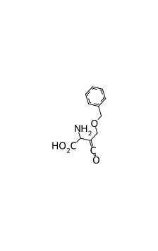 NC(C(=O)O)C(=C=O)COCc1ccccc1